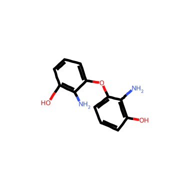 Nc1c(O)cccc1Oc1cccc(O)c1N